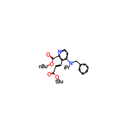 CCCCOC(=O)c1nccc(N(Cc2ccccc2)C(C)C)c1C=CC(=O)OC(C)(C)C